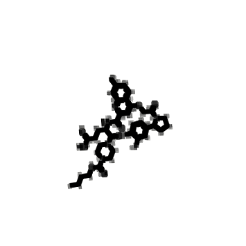 CCCCOC(=O)N1CCN(C(=O)C(CCC(=O)O)NC(=O)c2cc(OCC(=O)N3CCCC3c3ccc(F)c(F)c3)c3ccc(C)cc3n2)CC1